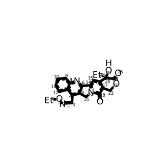 CCO/N=C\c1c2c(nc3ccccc13)-c1cc3c(c(=O)n1C2)COC(=O)[C@]3(O)CC